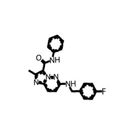 Cc1nc2ccc(NCc3ccc(F)cc3)nn2c1C(=O)Nc1ccccc1